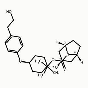 CC(C)(C)OC(=O)N1[C@@H]2CC[C@H]1C[C@H](O[C@H]1CC[C@H](Oc3ccc(CCO)cc3)CC1)C2